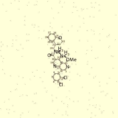 COc1ncc(-c2cccc(Cl)c2Cl)c2ncc(C(=O)NCC3CCOc4ccccc43)c(N(C)C)c12